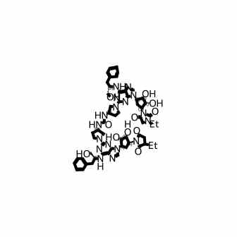 CCC1CC(=O)N([C@H]2C[C@@H](n3cnc4c(N[C@H](CO)Cc5ccccc5)nc(N5CC[C@@H](NC(=O)N[C@@H]6CCN(c7nc(N[C@H](CO)Cc8ccccc8)c8ncn([C@@H]9C[C@H](N%10C(=O)CN(CC)C%10=O)[C@@H](O)[C@H]9O)c8n7)C6)C5)nc43)[C@H](O)[C@@H]2O)C1=O